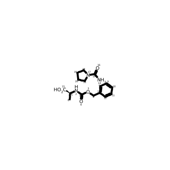 C[C@H](NC(=O)OCc1ccccc1)C(=O)O.NC(=O)N1CCCC1